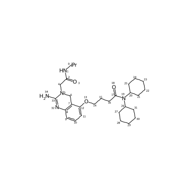 CC(C)NC(=O)CN1Cc2c(cccc2OCCCC(=O)N(C2CCCCC2)C2CCCCC2)N=C1N